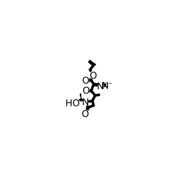 C=CCOC(=O)C(=[N+]=[N-])C(=O)C(C)C1CC(=O)N1[C@H](C)O